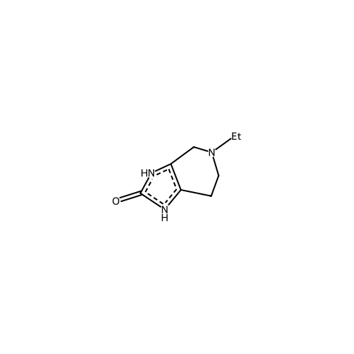 CCN1CCc2[nH]c(=O)[nH]c2C1